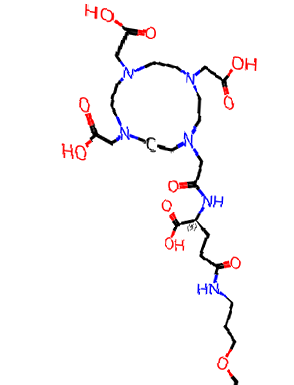 CCOCCCNC(=O)CC[C@H](NC(=O)CN1CCN(CC(=O)O)CCN(CC(=O)O)CCN(CC(=O)O)CC1)C(=O)O